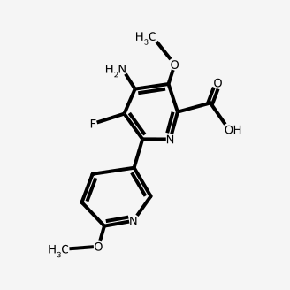 COc1ccc(-c2nc(C(=O)O)c(OC)c(N)c2F)cn1